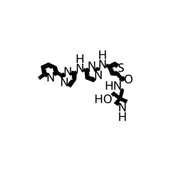 Cc1cccc(-c2nccc(Nc3ccnc(Nc4csc(C(=O)NCC5(CO)CNC5)c4)n3)n2)n1